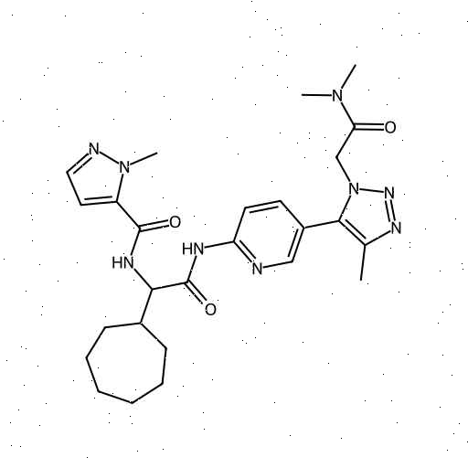 Cc1nnn(CC(=O)N(C)C)c1-c1ccc(NC(=O)C(NC(=O)c2ccnn2C)C2CCCCCC2)nc1